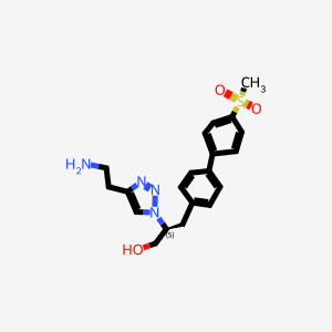 CS(=O)(=O)c1ccc(-c2ccc(C[C@@H](CO)n3cc(CCN)nn3)cc2)cc1